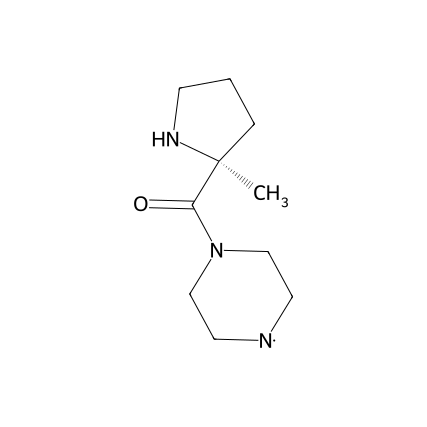 C[C@@]1(C(=O)N2CC[N]CC2)CCCN1